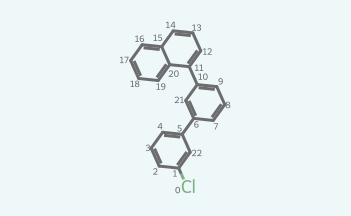 Clc1cccc(-c2cccc(-c3cccc4ccccc34)c2)c1